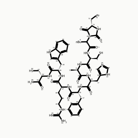 CCCCC(C(=O)N[C@@H](CS)C(=O)N[C@H](C)C(=O)N[C@@H](Cc1cnc[nH]1)C(=O)N[C@H](Cc1ccccc1)C(=O)N[C@@H](CCCNC(=N)N)C(=O)N[C@@H](Cc1c[nH]c2ccccc12)C(=O)N[C@@H](CS)C(N)=O)N1C(=O)N[C@@H](CC(C)C)C1=O